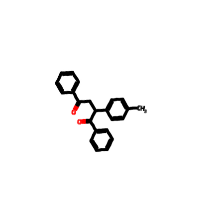 Cc1ccc(C(CC(=O)c2ccccc2)C(=O)c2ccccc2)cc1